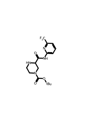 CC(C)(C)OC(=O)N1CCNC(C(=O)Nc2cccc(C(F)(F)F)n2)C1